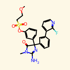 COCCS(=O)(=O)Oc1cccc(C2(c3cccc(-c4cccnc4F)c3)N=C(N)N(C)C2=O)c1